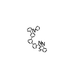 c1ccc(-n2c3ccccc3c3cc(-c4cccc(-c5cccc(-c6ncnc7c6sc6ccccc67)c5)c4)ccc32)cc1